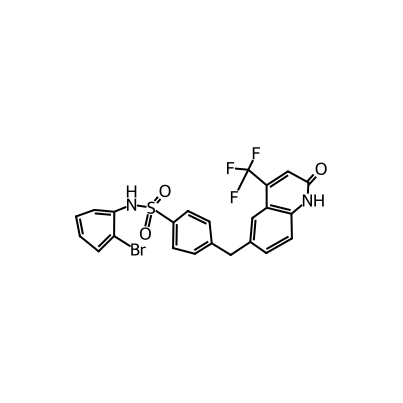 O=c1cc(C(F)(F)F)c2cc(Cc3ccc(S(=O)(=O)Nc4ccccc4Br)cc3)ccc2[nH]1